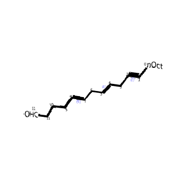 CCCCCCCC/C=C/C/C=C/C/C=C/CCC[C]=O